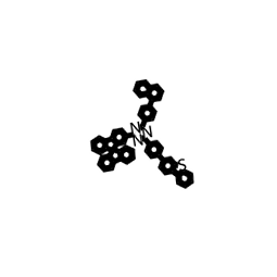 c1ccc2c(c1)-c1ccccc1C21c2ccccc2-c2ccc(-c3nc(-c4ccc(-c5ccc6c(c5)sc5ccccc56)cc4)nc(-c4ccc(-c5cccc6ccccc56)cc4)n3)cc21